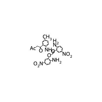 CC(=O)CC(=O)c1cc(C)ccc1N.Nc1ccc([N+](=O)[O-])cc1OCOc1cc([N+](=O)[O-])ccc1N